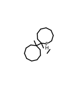 CC.CC1(C2(C)CCCCCCCP2)CCCCCCCC1